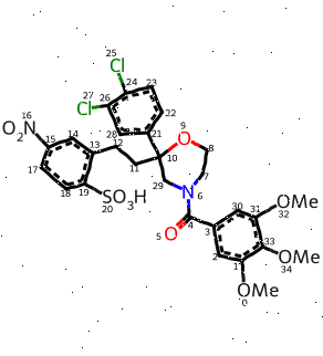 COc1cc(C(=O)N2CCOC(CCc3cc([N+](=O)[O-])ccc3S(=O)(=O)O)(c3ccc(Cl)c(Cl)c3)C2)cc(OC)c1OC